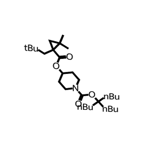 CCCCC(CCCC)(CCCC)OC(=O)N1CCC(OC(=O)C2(CC(C)(C)C)CC2(C)C)CC1